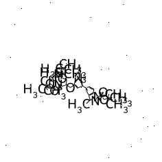 Cc1nn(C(=O)OC(C)(C)C)c2ccc(-c3cncc(OC(CNC(=O)OC(C)(C)C)CO[Si](C)(C)C(C)(C)C)c3)cc12